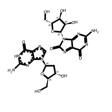 NC1=NC(=O)C2=NC(=O)N([C@@H]3O[C@H](CO)[C@@H](O)[C@H]3O)C2=N1.Nc1nc2c(ncn2[C@H]2C[C@H](O)[C@@H](CO)O2)c(=O)[nH]1